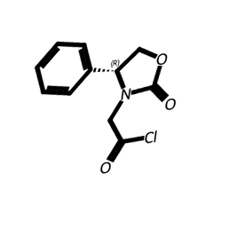 O=C(Cl)CN1C(=O)OC[C@H]1c1ccccc1